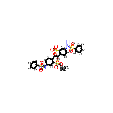 O=S(=O)([O-])c1cc(NS(=O)(=O)c2ccccc2)ccc1/C=C/c1ccc(NS(=O)(=O)c2ccccc2)cc1S(=O)(=O)[O-].[Na+].[Na+]